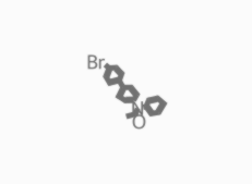 CC(=O)N(c1ccccc1)c1ccc(-c2ccc(Br)cc2)cc1